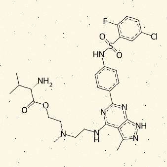 Cc1n[nH]c2nc(-c3ccc(NS(=O)(=O)c4cc(Cl)ccc4F)cc3)nc(NCCN(C)CCOC(=O)[C@@H](N)C(C)C)c12